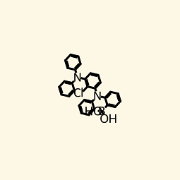 OB(O)c1ccccc1N(c1ccccc1)c1cccc(N(c2ccccc2)c2ccccc2)c1Cl